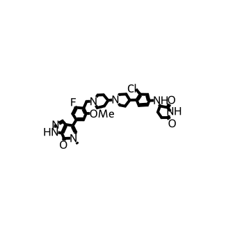 COc1cc(-c2cn(C)c(=O)c3[nH]ncc23)cc(F)c1CN1CCC(N2CCC(c3ccc(NC4CCC(=O)NC4=O)cc3Cl)CC2)CC1